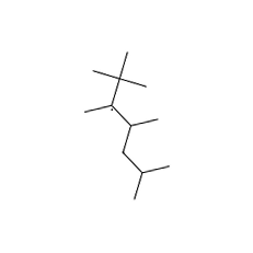 C[C](C(C)CC(C)C)C(C)(C)C